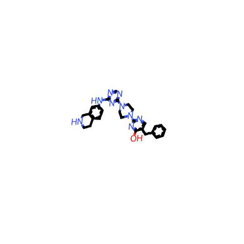 Oc1nc(N2CCN(c3ncnc(Nc4ccc5c(c4)CNCC5)n3)CC2)ncc1Cc1ccccc1